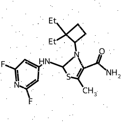 CCC1(CC)CCC1N1C(C(N)=O)=C(C)SC1Nc1cc(F)nc(F)c1